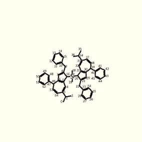 CC(C)C1=CC2=C(C=C(Cc3ccccc3)C2[Si](C)(C)C2C(Cc3ccccc3)=CC3=C2C=C(C(C)C)C=CC3c2ccccc2)C(c2ccccc2)C=C1